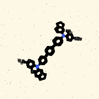 COc1ccc(N(c2ccc(-c3ccc(-c4ccc(N(c5ccc6c(c5)CCC6)c5ccc(C)cc5C)cc4)cc3)cc2)c2ccc3c(c2)CCC3)c(C)c1